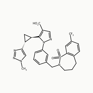 Cn1cc([C@@H]2C[C@H]2c2c(C(=O)O)cnn2-c2cccc(CN3CCCc4ccc(C(F)(F)F)cc4S3(=O)=O)c2)nn1